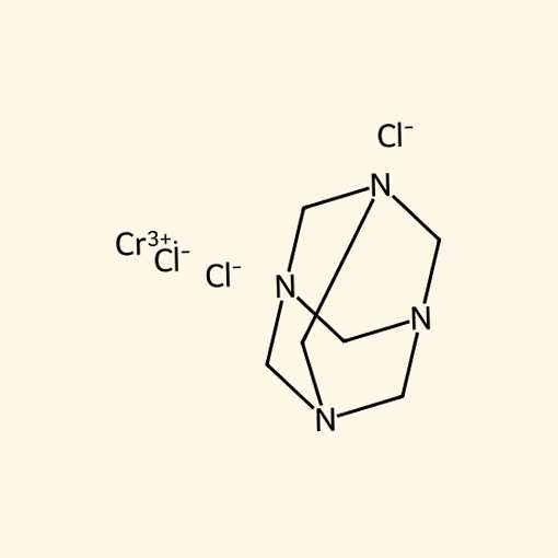 C1N2CN3CN1CN(C2)C3.[Cl-].[Cl-].[Cl-].[Cr+3]